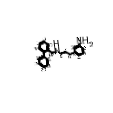 Nc1cccc(CCCNCc2ccccc2-c2ccccc2)c1